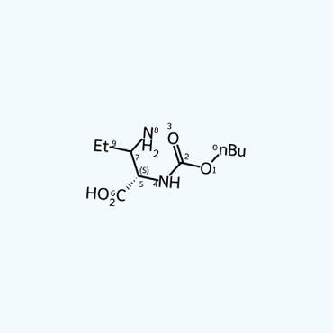 CCCCOC(=O)N[C@H](C(=O)O)C(N)CC